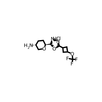 Cl.N[C@@H]1CC[C@@H](c2nnc(C3CC(OC(F)(F)F)C3)o2)OC1